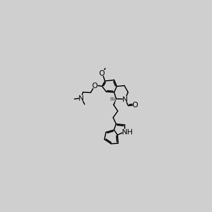 COc1cc2c(cc1OCCN(C)C)[C@H](CCCc1c[nH]c3ccccc13)N(C=O)CC2